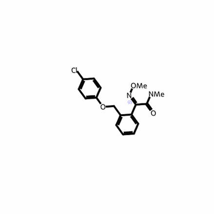 CNC(=O)/C(=N\OC)c1ccccc1COc1ccc(Cl)cc1